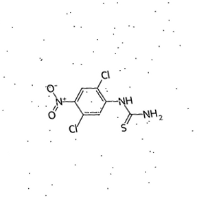 NC(=S)Nc1cc(Cl)c([N+](=O)[O-])cc1Cl